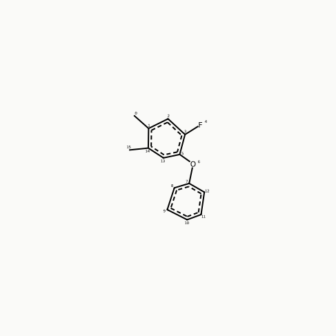 Cc1cc(F)c(Oc2ccccc2)cc1C